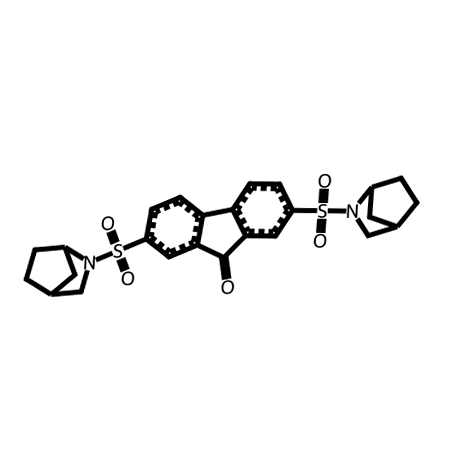 O=C1c2cc(S(=O)(=O)N3CC4CCC3C4)ccc2-c2ccc(S(=O)(=O)N3CC4CCC3C4)cc21